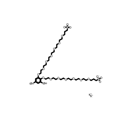 CC(C)(C)c1cc(OCCOCCOCCOCCOCCOCCOCCCS(=O)(=O)[O-])c(OCCOCCOCCOCCOCCOCCOCCCS(=O)(=O)[O-])c(C(C)(C)C)c1.[K+].[K+]